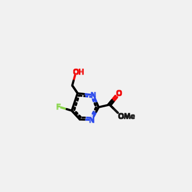 COC(=O)c1ncc(F)c(CO)n1